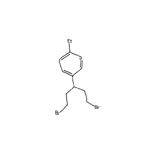 CCc1ccc(C(CCBr)CCBr)cc1